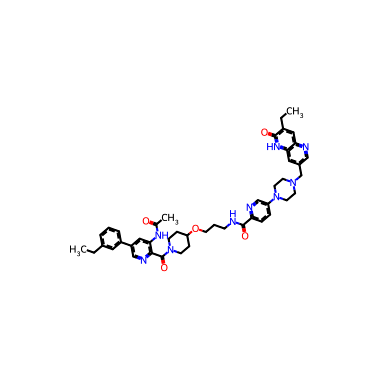 CCc1cccc(-c2cnc(C(=O)N3CCC(OCCCNC(=O)c4ccc(N5CCN(Cc6cnc7cc(CC)c(=O)[nH]c7c6)CC5)cn4)CC3)c(NC(C)=O)c2)c1